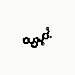 Cc1cc(C(=O)N2CCc3c(-c4ccccc4)cccc32)ccc1C=O